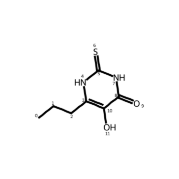 CCCc1[nH]c(=S)[nH]c(=O)c1O